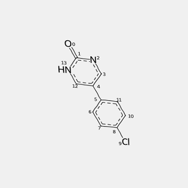 O=c1ncc(-c2ccc(Cl)cc2)c[nH]1